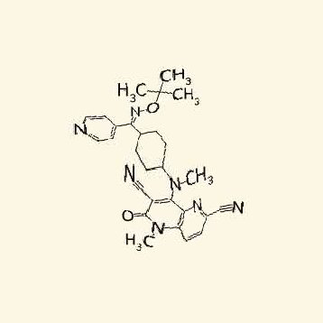 CN(c1c(C#N)c(=O)n(C)c2ccc(C#N)nc12)C1CCC(/C(=N\OC(C)(C)C)c2ccncc2)CC1